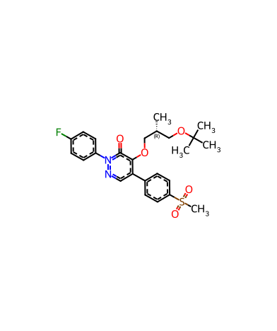 C[C@@H](COc1c(-c2ccc(S(C)(=O)=O)cc2)cnn(-c2ccc(F)cc2)c1=O)COC(C)(C)C